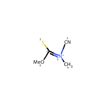 COC([S-])=[N+](C)C#N